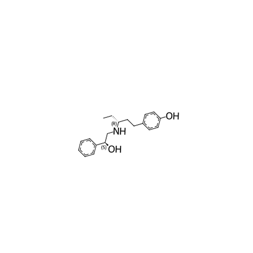 CC[C@H](CCc1ccc(O)cc1)NC[C@@H](O)c1ccccc1